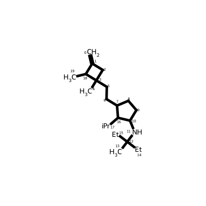 C=C1CC(C)(CCC2CCC(NC(C)(CC)CC)C2C(C)C)C1C